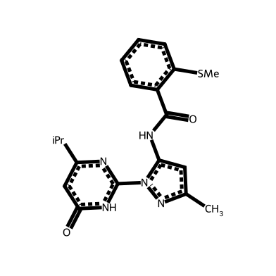 CSc1ccccc1C(=O)Nc1cc(C)nn1-c1nc(C(C)C)cc(=O)[nH]1